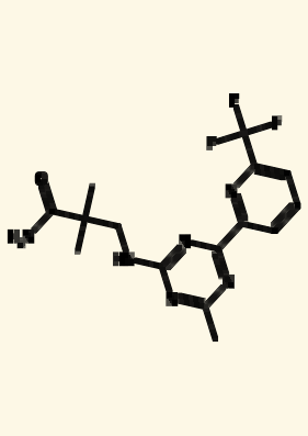 Cc1nc(NCC(C)(C)C(N)=O)nc(-c2cccc(C(F)(F)F)n2)n1